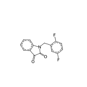 O=C1C(=O)N(Cc2cc(F)ccc2F)c2ccccc21